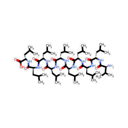 CC(C)C[C@H](NC(=O)[C@H](CC(C)C)NC(=O)[C@H](CC(C)C)NC(=O)[C@H](CC(C)C)NC(=O)[C@H](CC(C)C)NC(=O)[C@H](CC(C)C)NC(=O)[C@H](CC(C)C)NC(=O)[C@H](CC(C)C)NC(=O)[C@H](CC(C)C)NC(=O)[C@@H](N)C(C)C)C(=O)O